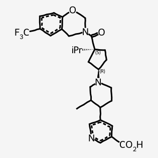 CC1CN([C@@H]2CC[C@@](C(=O)N3COc4ccc(C(F)(F)F)cc4C3)(C(C)C)C2)CCC1c1cncc(C(=O)O)c1